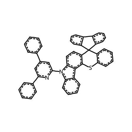 c1ccc(-c2cc(-c3ccccc3)nc(-n3c4ccccc4c4c5c(ccc43)C3(c4ccccc4S5)c4ccccc4-c4ccccc43)c2)cc1